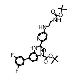 CC(C)(C)OC(=O)NCCNc1ccc(C(=O)Nc2cc(-c3cc(F)cc(F)c3)ccc2NC(=O)OC(C)(C)C)nc1